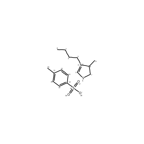 CCCC[N+]1=CSCC1C.Cc1ccc(S(=O)(=O)[O-])cc1